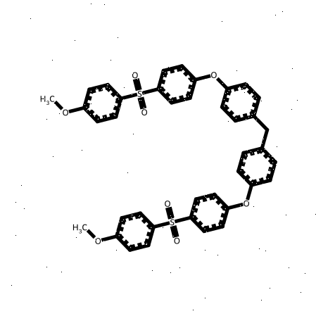 COc1ccc(S(=O)(=O)c2ccc(Oc3ccc(Cc4ccc(Oc5ccc(S(=O)(=O)c6ccc(OC)cc6)cc5)cc4)cc3)cc2)cc1